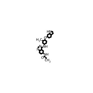 C=CC(=O)Nc1ccc2ncnc(Nc3ccc(Oc4ccc5cc[nH]c5c4)c(C)c3)c2c1